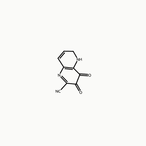 N#CC1=NC2=C(NCC=C2)C(=O)C1=O